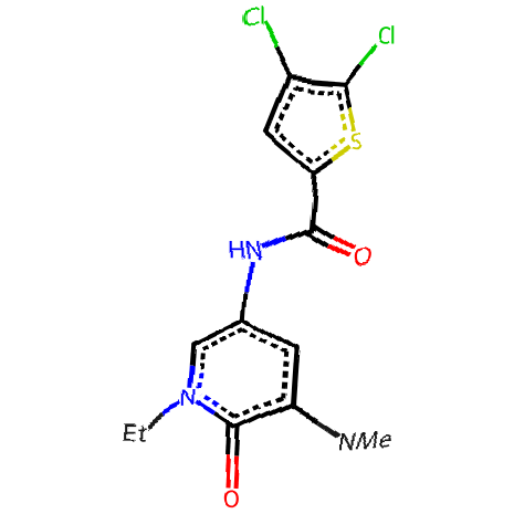 CCn1cc(NC(=O)c2cc(Cl)c(Cl)s2)cc(NC)c1=O